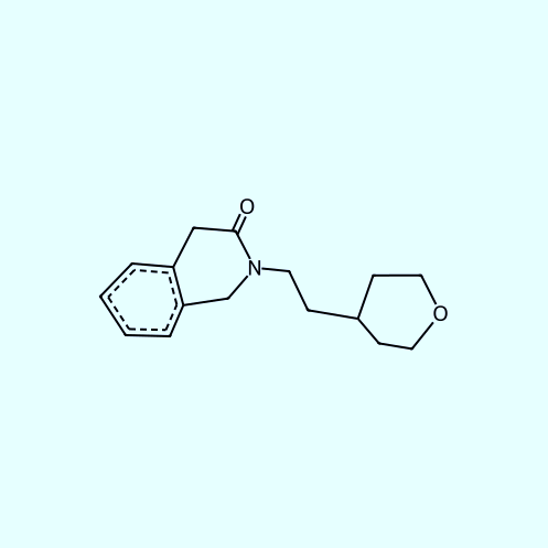 O=C1Cc2ccccc2CN1CCC1CCOCC1